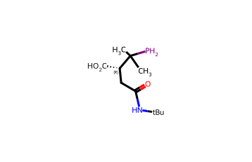 CC(C)(C)NC(=O)C[C@H](C(=O)O)C(C)(C)P